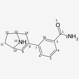 NC(=O)c1cccc(C2=CC3CCC(C2)N3)c1